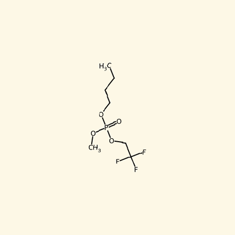 CCCCOP(=O)(OC)OCC(F)(F)F